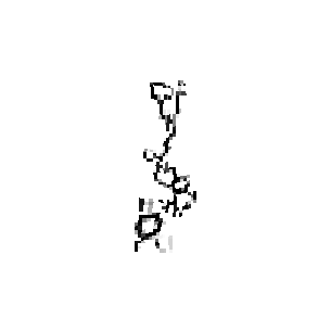 COCCN(C/C=C/C(=O)N1CCc2c(sc3ncnc(Nc4ccc(F)c(Cl)c4)c23)C1)CC1CCCO1